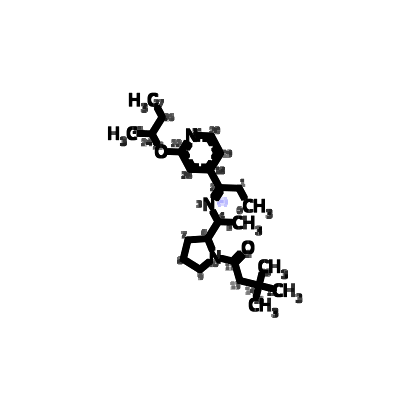 CC/C(=N\C(C)C1CCCN1C(=O)CC(C)(C)C)c1ccnc(OC(C)CC)c1